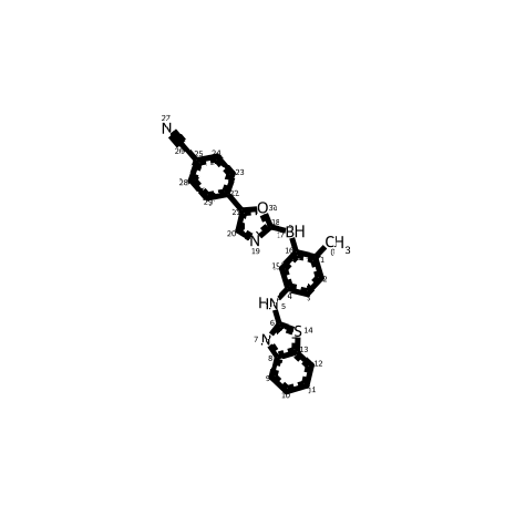 Cc1ccc(Nc2nc3ccccc3s2)cc1Bc1ncc(-c2ccc(C#N)cc2)o1